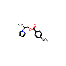 CCCC(COC(=O)c1ccc([N+](=O)[O-])cc1)n1cccc1